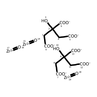 O=C([O-])CC(O)(CC(=O)[O-])C(=O)[O-].O=C([O-])CC(O)(CC(=O)[O-])C(=O)[O-].[O]=[Zr+2].[O]=[Zr+2].[O]=[Zr+2]